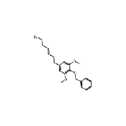 COc1cc(CCC=CCCBr)cc(OC)c1OCc1ccccc1